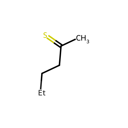 [CH2]CCCC(C)=S